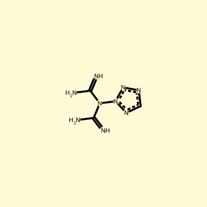 N=C(N)N(C(=N)N)n1ncnn1